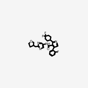 O=C(Nc1cnc(CC2CCOC2)nc1)c1c(-c2ccccc2F)ccnc1C1CCC(F)(F)CC1